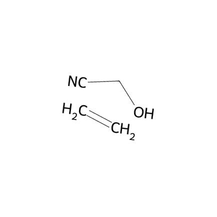 C=C.N#CCO